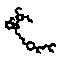 C=C(/C=C/CN(C)C)N1CCN(CCCCCn2nc(-c3cc(OC)cc(OC)c3)c3c(N)ncnc32)CC1